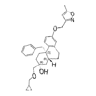 Cc1cc(COc2ccc3c(c2)CC[C@@H]2C[C@@](O)(COCC4CC4)CC[C@@]32Cc2ccccc2)no1